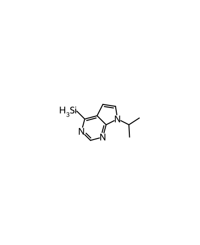 CC(C)n1ccc2c([SiH3])ncnc21